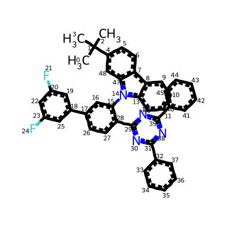 CC(C)(C)c1ccc2c3ccccc3n(-c3cc(-c4cc(F)cc(F)c4)ccc3-c3nc(-c4ccccc4)nc(-c4ccccc4)n3)c2c1